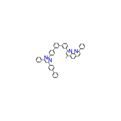 Cc1cc(-c2cccc(-c3cccc(-c4ccc(-c5nc(-c6ccccc6)cc(-c6ccc(-c7ccccc7)cc6)n5)cc4)c3)c2)nc2c1ccc1ccc(-c3ccccc3)nc12